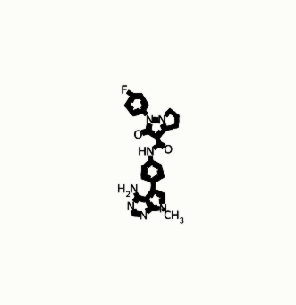 Cn1cc(-c2ccc(NC(=O)c3c4n(n(-c5ccc(F)cc5)c3=O)CCC4)cc2)c2c(N)ncnc21